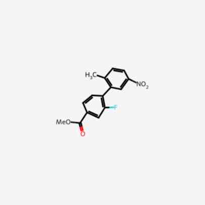 COC(=O)c1ccc(-c2cc([N+](=O)[O-])ccc2C)c(F)c1